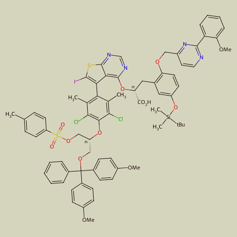 COc1ccc(C(OC[C@H](COS(=O)(=O)c2ccc(C)cc2)Oc2c(Cl)c(C)c(-c3c(I)sc4ncnc(O[C@H](Cc5cc(O[Si](C)(C)C(C)(C)C)ccc5OCc5ccnc(-c6ccccc6OC)n5)C(=O)O)c34)c(C)c2Cl)(c2ccccc2)c2ccc(OC)cc2)cc1